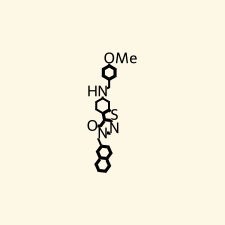 COc1ccc(CNC2CCc3c(sc4ncn(Cc5ccc6ccccc6c5)c(=O)c34)C2)cc1